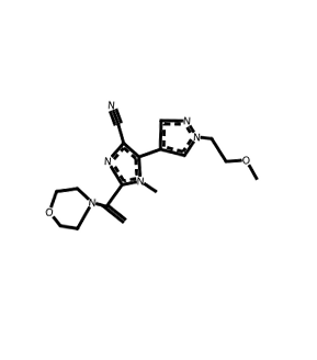 C=C(c1nc(C#N)c(-c2cnn(CCOC)c2)n1C)N1CCOCC1